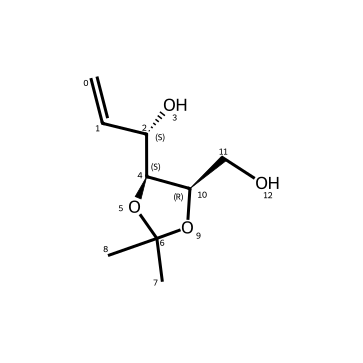 C=C[C@H](O)[C@@H]1OC(C)(C)O[C@@H]1CO